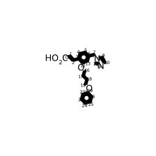 O=C(O)/C=C/c1ccc(Cn2ccnc2)cc1OCCCCOc1ccccc1